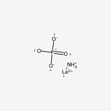 O=P([O-])([O-])[O-].[La+2].[NH4+]